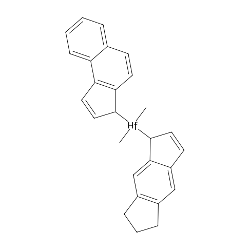 [CH3][Hf]([CH3])([CH]1C=Cc2cc3c(cc21)CCC3)[CH]1C=Cc2c1ccc1ccccc21